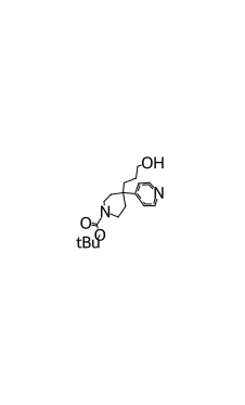 CC(C)(C)OC(=O)N1CCC(CCCO)(c2ccncc2)CC1